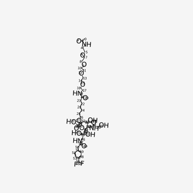 CC(=O)NCCOCCOCCOCCOCCNC(=O)CCCCCCO[C@]1(C(=O)O)C[C@H](O)[C@@H](NC(=O)CO)[C@H]([C@H](O)[C@H](O)CNC(=O)Cc2ccc(C(F)F)cc2)O1